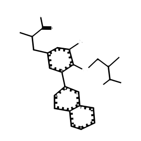 CC(Cc1cc(N)c(OCC(C)C(C)C)c(-c2ccc3ccccc3c2)c1)C(=O)O